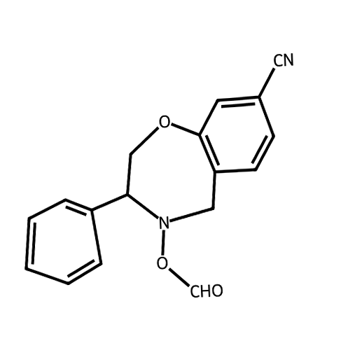 N#Cc1ccc2c(c1)OCC(c1ccccc1)N(OC=O)C2